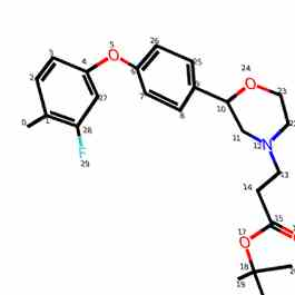 Cc1ccc(Oc2ccc(C3CN(CCC(=O)OC(C)(C)C)CCO3)cc2)cc1F